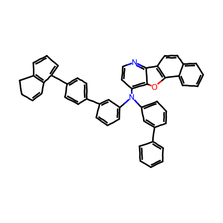 C1=Cc2c(cccc2-c2ccc(-c3cccc(N(c4cccc(-c5ccccc5)c4)c4ccnc5c4oc4c6ccccc6ccc54)c3)cc2)CC1